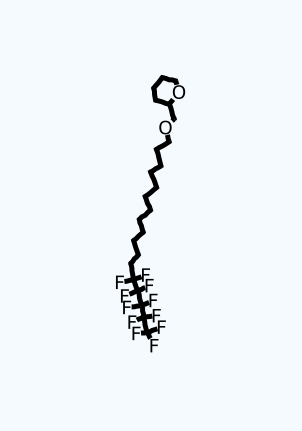 FC(F)(F)C(F)(F)C(F)(F)C(F)(F)C(F)(F)CCCCCCCCCCCCOCC1CCCCO1